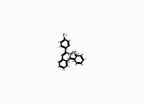 Fc1ccc(-c2cc3ccccc3c3c4ccccc4nn23)cc1